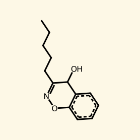 CCCCCC1=NOc2ccccc2C1O